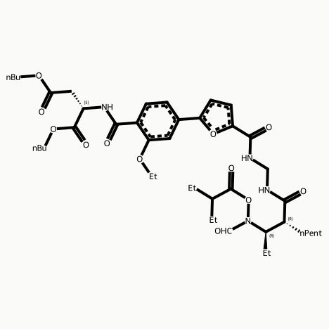 CCCCC[C@@H](C(=O)NCNC(=O)c1ccc(-c2ccc(C(=O)N[C@@H](CC(=O)OCCCC)C(=O)OCCCC)c(OCC)c2)o1)[C@@H](CC)N(C=O)OC(=O)C(CC)CC